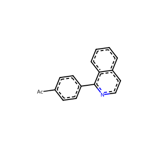 CC(=O)c1ccc(-c2nccc3ccccc23)cc1